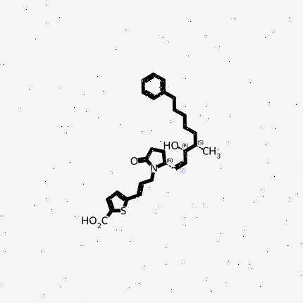 C[C@@H](CCCCCc1ccccc1)[C@@H](O)/C=C\[C@H]1CCC(=O)N1CC=Cc1ccc(C(=O)O)s1